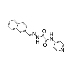 O=C(N/N=C/c1ccc2ccccc2c1)C(=O)Nc1ccncc1